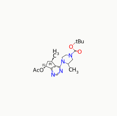 CC(=O)O[C@H]1C[C@@H](C)c2c1ncnc2N1CCN(C(=O)OC(C)(C)C)CC1C